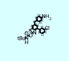 CC(C)(C)NC(=O)Oc1nc2c(-c3cccc(Cl)c3)cc(Cc3ccc(N)cc3)cc2s1